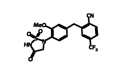 COc1cc(Cc2cc(C(F)(F)F)ccc2C#N)ccc1N1CC(=O)NS1(=O)=O